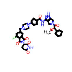 CO[C@@H](C(=O)N1Cc2[nH]nc(NC(=O)c3ccc(N4CCN(Cc5cc(F)c6c(c5)C(=O)N(C5CCC(=O)NC5=O)C6=O)CC4)cc3)c2C1)c1ccccc1